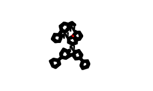 c1ccc(-c2ccc3c(c2)c2cc(-c4ccccc4)ccc2n3-c2cccc(-n3c4ccccc4c4ccc5ccn(-c6ccccc6)c5c43)c2)cc1